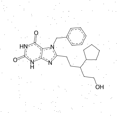 O=c1[nH]c(=O)c2c(nc(CCC(CCO)C3CCCC3)n2Cc2ccccc2)[nH]1